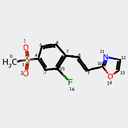 CS(=O)(=O)c1ccc(C=Cc2ncco2)c(F)c1